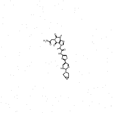 CC(C(=O)Nc1csc(C2=CNC(N3CC4CC4C3)N=C2)n1)n1cnc2c1c(=O)n(CC(N)=O)c(=O)n2C